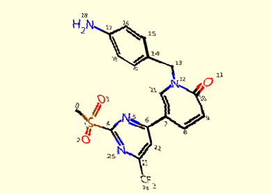 CS(=O)(=O)c1nc(-c2ccc(=O)n(Cc3ccc(N)cc3)c2)cc(C(F)(F)F)n1